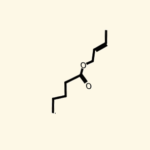 [CH2]CCCC(=O)OC/C=C/C